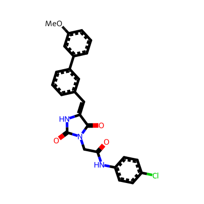 COc1cccc(-c2cccc(/C=C3\NC(=O)N(CC(=O)Nc4ccc(Cl)cc4)C3=O)c2)c1